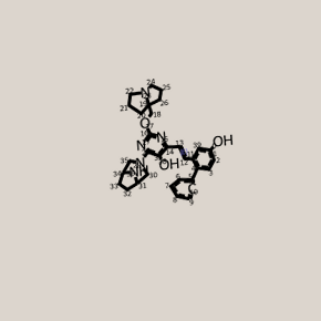 Oc1ccc(-c2ccccc2)c(/C=C/c2nc(OCC34CCCN3CCC4)nc(N3CC4CCC(C3)N4)c2O)c1